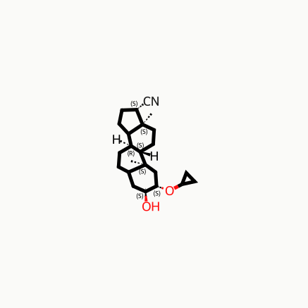 C[C@]12CC[C@H]3[C@@H](CCC4C[C@H](O)[C@@H](OC5CC5)C[C@@]43C)C1CC[C@@H]2C#N